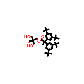 CC(C)(C)c1cc(C(C)(C)C)cc(C(C)(C(=O)OCC(CO)(CO)CO)c2cc(C(C)(C)C)cc(C(C)(C)C)c2)c1